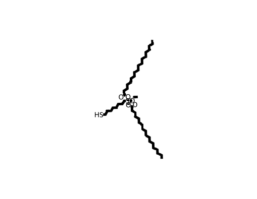 CCCCCCCCCCCCCCCCCC(=O)O[Si](CCCCCCCCS)(OCC)OC(=O)CCCCCCCCCCCCCCCCC